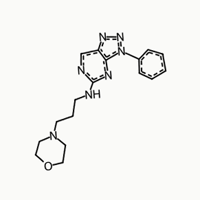 c1ccc(-n2nnc3cnc(NCCCN4CCOCC4)nc32)cc1